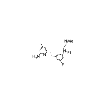 CCN(CCNC)c1cc(F)cc(CCc2cc(C)cc(N)n2)c1